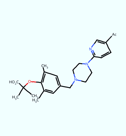 CC(=O)c1ccc(N2CCN(Cc3cc(C)c(OC(C)(C)C(=O)O)c(C)c3)CC2)nc1